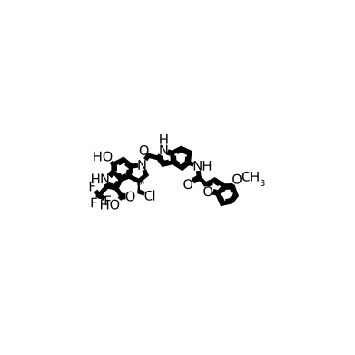 COc1cccc2oc(C(=O)Nc3ccc4[nH]c(C(=O)N5C[C@@H](CCl)c6c5cc(O)c5[nH]c(C(F)(F)F)c(C(=O)O)c65)cc4c3)cc12